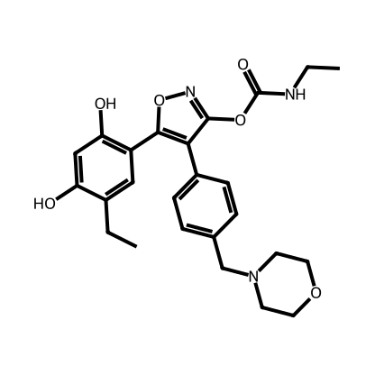 CCNC(=O)Oc1noc(-c2cc(CC)c(O)cc2O)c1-c1ccc(CN2CCOCC2)cc1